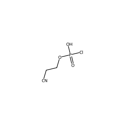 N#CCCOP(=O)(O)Cl